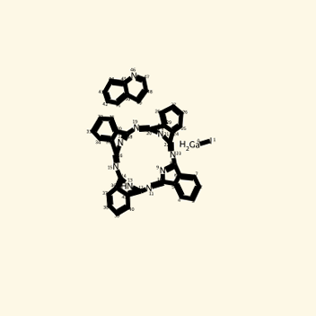 [GaH2][I].c1ccc2c(c1)-c1nc-2nc2[nH]c(nc3nc(nc4[nH]c(n1)c1ccccc41)-c1ccccc1-3)c1ccccc21.c1ccc2ncccc2c1